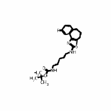 CC(C)(C)OC(=O)NCCCCCNc1nc2c(s1)CCCc1ccc(F)cc1-2